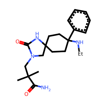 CCNC1(c2ccccc2)CCC2(CC1)CN(CC(C)(C)C(N)=O)C(=O)N2